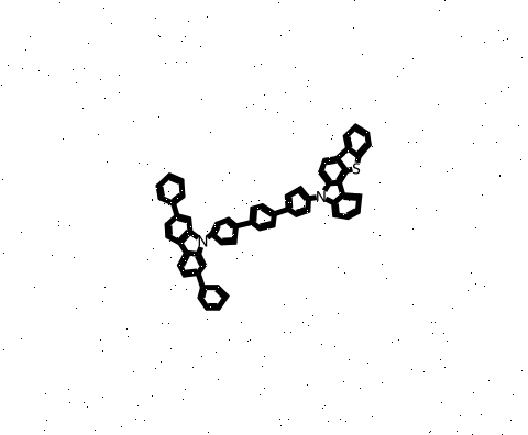 c1ccc(-c2ccc3c4ccc(-c5ccccc5)cc4n(-c4ccc(-c5ccc(-c6ccc(-n7c8ccccc8c8c9sc%10ccccc%10c9ccc87)cc6)cc5)cc4)c3c2)cc1